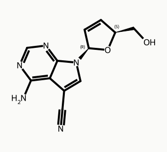 N#Cc1cn([C@H]2C=C[C@@H](CO)O2)c2ncnc(N)c12